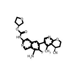 Cc1c(-c2cc3cc(NC(=O)O[C@H]4CCOC4)ncc3c(N)c2F)cnc2c1[C@H](C#N)CCO2